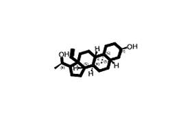 C=CC12CC[C@H]3[C@@H](CC[C@H]4C[C@H](O)CC[C@@]43C)[C@@H]1CCC2[C@@H](C)O